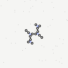 c1ccc(-c2ccc(-n3c4ccc(-c5ccc6c(c5)c5ccccc5n6-c5ccccc5)cc4c4cc(-c5ccc6c(c5)c5cc(-c7ccc8c(c7)c7ccccc7n8-c7ccccc7)ccc5n6-c5ccc(-c6ccccc6)cc5)ccc43)cc2)cc1